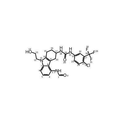 O=CNc1cccc2c1c1c(n2CCO)CCC(NC(=O)Nc2ccc(Cl)c(C(F)(F)F)c2)C1